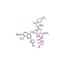 C=CC1C[C@@]1(NC(=O)[C@@H]1C[C@@H](Oc2cc(-c3nc(C(C)C)cs3)nc3c(C)c(OC)ccc23)CN1C(=O)[C@@H](CC(=O)N1CCC(C(F)(F)F)CC1)C(C)(C)C)C(=O)NS(=O)(=O)C1CC1